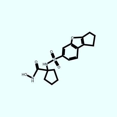 O=C(NO)C1(NS(=O)(=O)c2ccc3c4c(oc3c2)CCC4)CCCC1